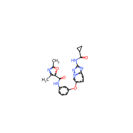 Cc1nc(C)c(C(=O)Nc2cccc(Oc3ccc4nc(NC(=O)C5CC5)nn4c3)c2)o1